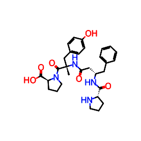 C[C@@](Cc1ccc(O)cc1)(NC(=O)C[C@H](Cc1ccccc1)NC(=O)[C@@H]1CCCN1)C(=O)N1CCC[C@H]1C(=O)O